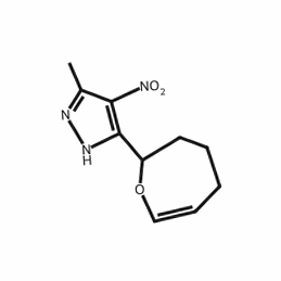 Cc1n[nH]c(C2CCCC=CO2)c1[N+](=O)[O-]